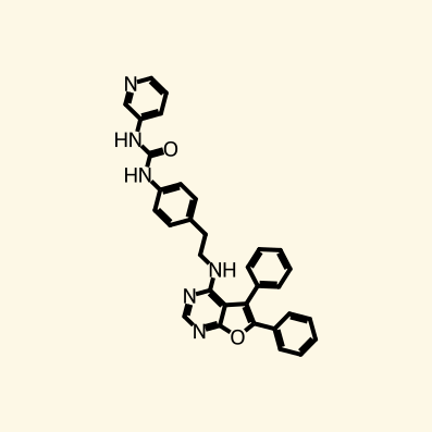 O=C(Nc1ccc(CCNc2ncnc3oc(-c4ccccc4)c(-c4ccccc4)c23)cc1)Nc1cccnc1